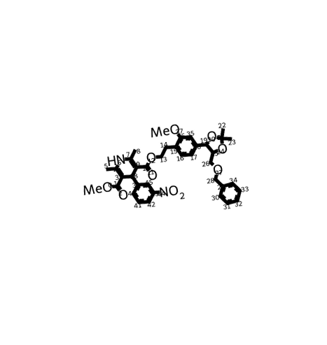 COC(=O)C1=C(C)NC(C)=C(C(=O)OCCc2ccc(C3OC(C)(C)OC3COCc3ccccc3)cc2OC)C1c1cccc([N+](=O)[O-])c1